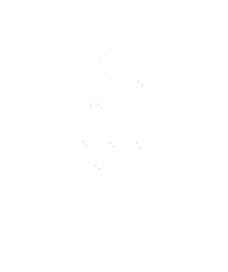 Nc1nc(Nc2ccc3nc(-c4ccccc4Cl)cc(N)c3c2)cc(-c2ccc(C(F)(F)F)cc2)n1